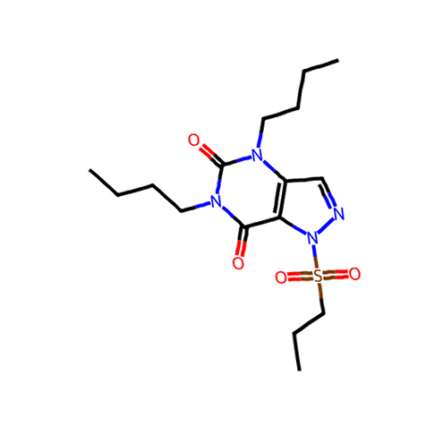 CCCCn1c(=O)c2c(cnn2S(=O)(=O)CCC)n(CCCC)c1=O